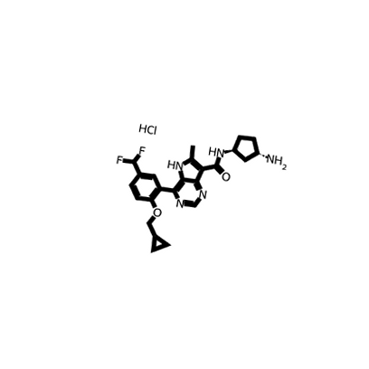 Cc1[nH]c2c(-c3cc(C(F)F)ccc3OCC3CC3)ncnc2c1C(=O)N[C@H]1CC[C@H](N)C1.Cl